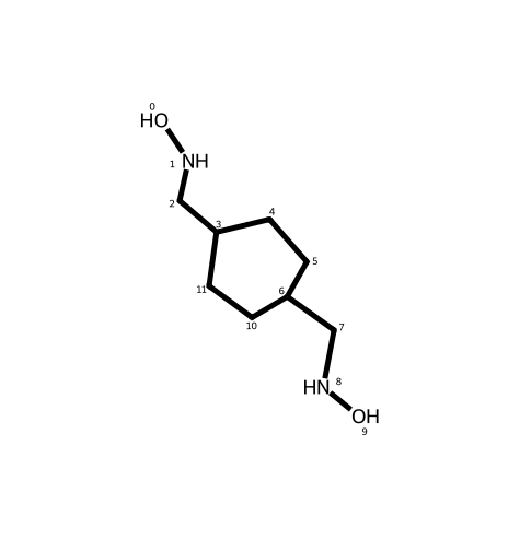 ONCC1CCC(CNO)CC1